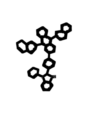 C1=CCCC(N2c3ccccc3NC2c2ccc(-c3ccc4c(-c5ccc6ccccc6c5)c5ccccc5c(-c5ccc6c(c5)CCC=C6)c4c3)cc2)=C1